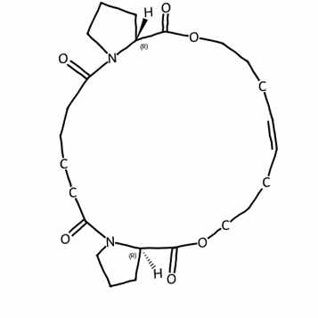 O=C1OCCCC=CCCCOC(=O)[C@H]2CCCN2C(=O)CCCCC(=O)N2CCC[C@H]12